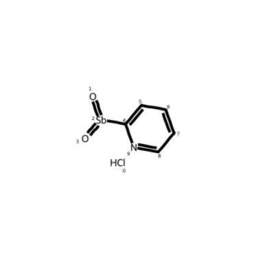 Cl.[O]=[Sb](=[O])[c]1ccccn1